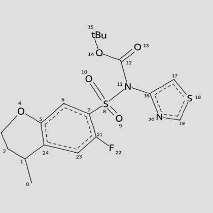 CC1CCOc2cc(S(=O)(=O)N(C(=O)OC(C)(C)C)c3cscn3)c(F)cc21